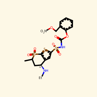 CCN[C@H]1CC(C)S(=O)(=O)c2sc(S(=O)(=O)NC(=O)Oc3ccccc3CO[N+](=O)[O-])cc21